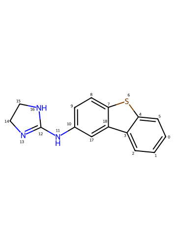 c1ccc2c(c1)sc1ccc(NC3=NCCN3)cc12